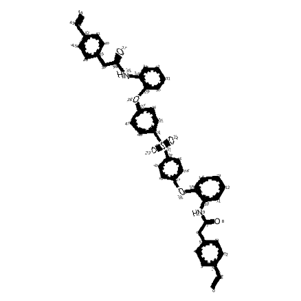 C=Cc1ccc(CC(=O)Nc2ccccc2Oc2ccc(S(=O)(=O)c3ccc(Oc4ccccc4NC(=O)Cc4ccc(C=C)cc4)cc3)cc2)cc1